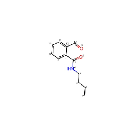 CCCCNC(=O)c1ccccc1C=O